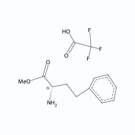 COC(=O)[C@@H](N)CCc1ccccc1.O=C(O)C(F)(F)F